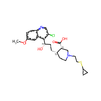 COc1ccc2ncc(Cl)c([C@@H](O)CC[C@H]3CCN(CCSC4CC4)C[C@H]3C(=O)O)c2c1